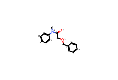 CN(C(=O)COCc1ccccc1)c1ccccc1